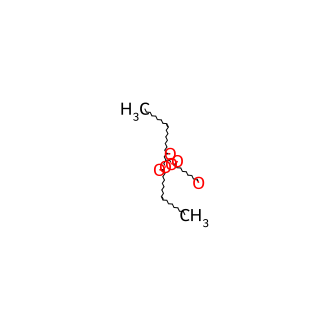 CCCCCCCC/C=C\CCCCCCCC(=O)CC(COC(=O)CCCCCCCC=O)COC(=O)CCCCCCC/C=C\CCCCCCCC